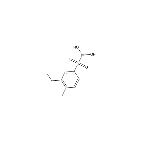 CCc1cc(S(=O)(=O)N(O)O)ccc1C